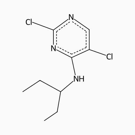 CCC(CC)Nc1nc(Cl)ncc1Cl